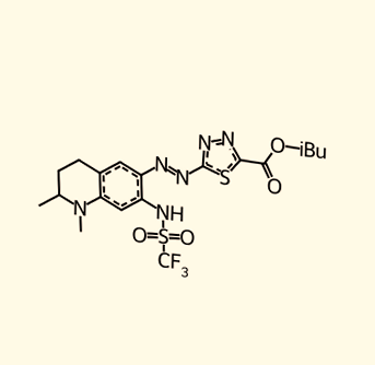 CCC(C)OC(=O)c1nnc(N=Nc2cc3c(cc2NS(=O)(=O)C(F)(F)F)N(C)C(C)CC3)s1